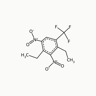 CCc1c([N+](=O)[O-])cc(C(F)(F)F)c(CC)c1[N+](=O)[O-]